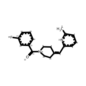 Cc1cccc(C=C2CCN(C(=O)c3cccc(F)c3)CC2)n1